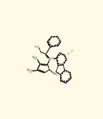 CC/[C](c1ccccc1)=[Zr+2](\[C]1=C(C)C(C)=CC1C)[c]1cccc2c1Cc1ccccc1-2.[Cl-].[Cl-]